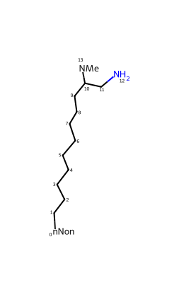 CCCCCCCCCCCCCCCCCCC(CN)NC